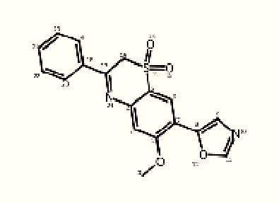 COc1cc2c(cc1-c1cnco1)S(=O)(=O)CC(c1ccccc1)=N2